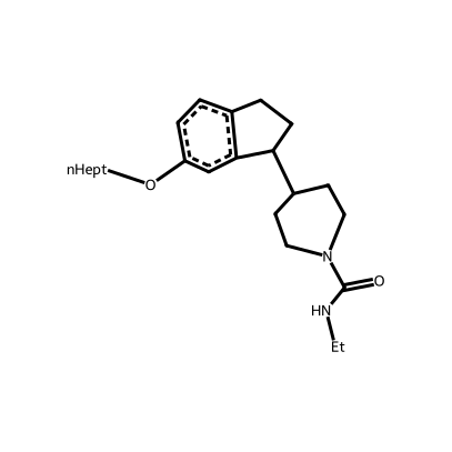 CCCCCCCOc1ccc2c(c1)C(C1CCN(C(=O)NCC)CC1)CC2